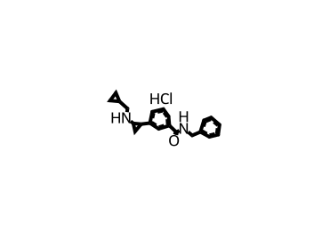 Cl.O=C(NCc1ccccc1)c1cccc(C2CC2NCC2CC2)c1